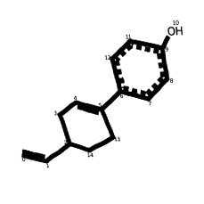 C=CC1CC=C(c2ccc(O)cc2)CC1